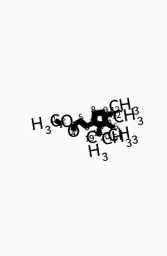 CCOC(=O)C=Cc1ccc(C(C)C)c(CC)c1C(C)C